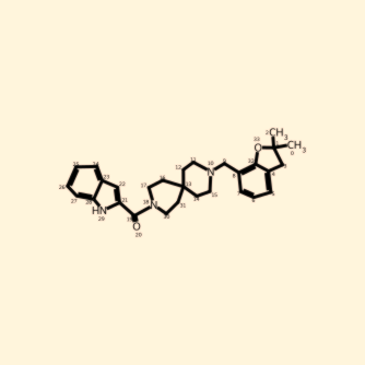 CC1(C)Cc2cccc(CN3CCC4(CC3)CCN(C(=O)c3cc5ccccc5[nH]3)CC4)c2O1